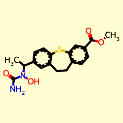 COC(=O)c1ccc2c(c1)Sc1ccc(C(C)N(O)C(N)=O)cc1CC2